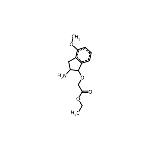 CCOC(=O)COC1c2cccc(OC)c2CC1N